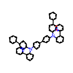 c1ccc(-c2ccc(N(c3ccc(-c4ccc(N(c5ccc(-c6ccccc6)cc5)c5ccccc5-c5ccccn5)cc4)cc3)c3ccccc3-c3ccccn3)cc2)cc1